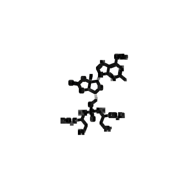 CCOC(=O)C(CC(C)C)NP(=O)(NC(CC(C)C)C(=O)OCC)OC[C@H]1O[C@@H](n2cnc3c(OC)nc(C)nc32)[C@@]2(C)OC(=O)OC12